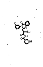 CCCCC(Cc1nc2ccccc2c(=O)n1-c1cccc(Cl)c1)C(=O)NC(=O)C1CCCNC1